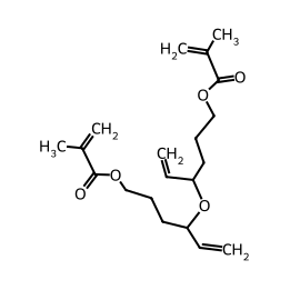 C=CC(CCCOC(=O)C(=C)C)OC(C=C)CCCOC(=O)C(=C)C